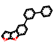 c1ccc(-c2cccc(-c3ccc4oc5occc5c4c3)c2)cc1